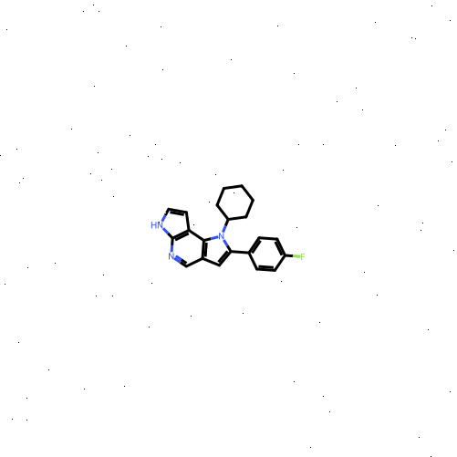 Fc1ccc(-c2cc3cnc4[nH]ccc4c3n2C2CCCCC2)cc1